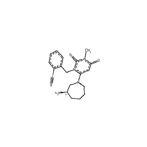 Cn1c(=O)cc(N2CCCC[C@@H](N)C2)n(Cc2ccccc2C#N)c1=O